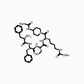 CNC(=O)NC1CCN(C(=O)[C@@H](CCCCNC(=O)OC)NC(=O)[C@@H](CC(C)C)NC(=O)[C@@H](Cc2ccccc2)NC(=O)[C@H](N)Cc2ccccc2)CC1